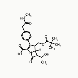 CNC(=O)Cc1ccc(C2=C(C(=O)O)N3C(=O)[C@H]([C@@H](C)O)[C@H]3C2COC(=O)C(C)(C)C)cc1